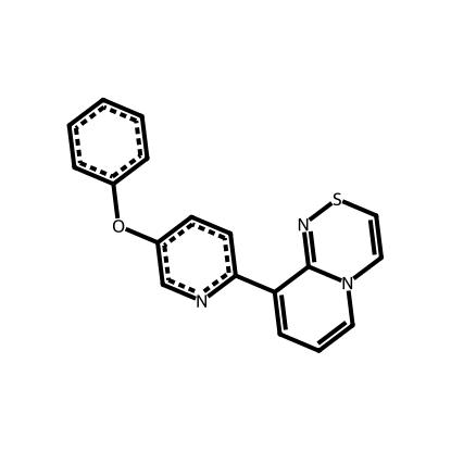 C1=CN2C=CSN=C2C(c2ccc(Oc3ccccc3)cn2)=C1